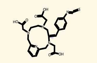 O=C(O)CN1CCN(CC(=O)O)Cc2cccc(n2)CN(CC(=O)O)/C(=C/c2ccc(N=C=S)cc2)C1